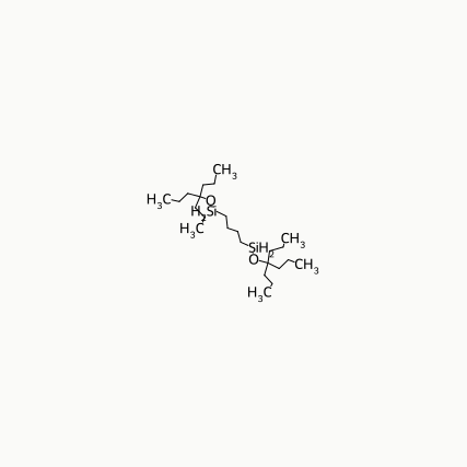 CCCC(CCC)(CCC)O[SiH2]CCCC[SiH2]OC(CCC)(CCC)CCC